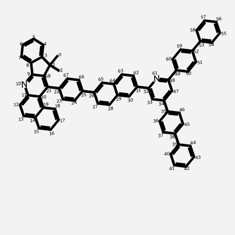 CC1(C)c2ccccc2-c2nc3ccc4ccccc4c3c(-c3ccc(-c4ccc5cc(-c6cc(-c7ccc(-c8ccccc8)cc7)cc(-c7ccc(-c8ccccc8)cc7)n6)ccc5c4)cc3)c21